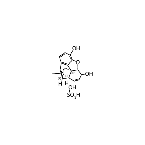 CN1CC[C@]23c4c5ccc(O)c4OC2C(O)C=C[C@H]3[C@H]1C5.O=S(=O)(O)O